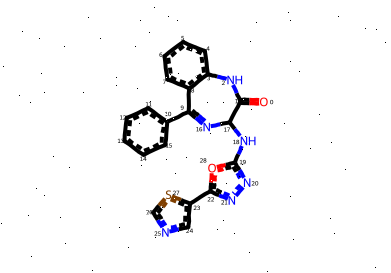 O=C1Nc2ccccc2C(c2ccccc2)=NC1Nc1nnc(-c2cncs2)o1